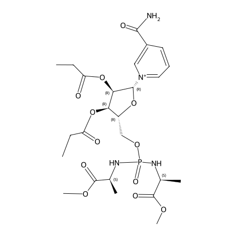 CCC(=O)O[C@@H]1[C@H](OC(=O)CC)[C@@H](COP(=O)(N[C@@H](C)C(=O)OC)N[C@@H](C)C(=O)OC)O[C@H]1[n+]1cccc(C(N)=O)c1